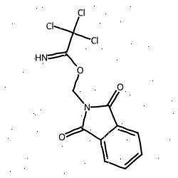 N=C(OCN1C(=O)c2ccccc2C1=O)C(Cl)(Cl)Cl